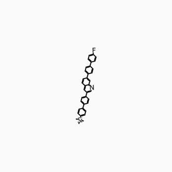 C[Si](C)(C)c1ccc(-c2ccc(-c3cnc4cc(-c5ccc(-c6ccc(F)cc6)cc5)ccc4c3)cc2)cc1